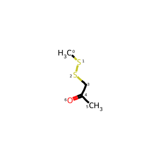 CSSCC(C)=O